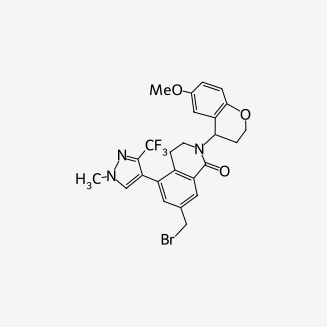 COc1ccc2c(c1)C(N1CCc3c(cc(CBr)cc3-c3cn(C)nc3C(F)(F)F)C1=O)CCO2